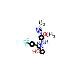 COc1cc(Nc2nc(-c3ccc(C(F)(F)F)cc3)cc(C3(O)CCCC3)n2)ccc1-n1cnc(C)c1